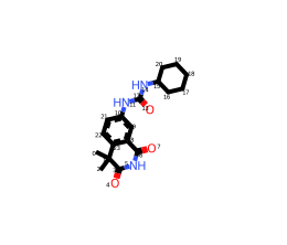 CC1(C)C(=O)NC(=O)c2cc(NC(=O)NC3CCCCC3)ccc21